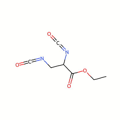 CCOC(=O)C(CN=C=O)N=C=O